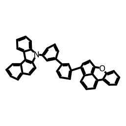 c1cc(-c2cccc(-n3c4ccccc4c4c5ccccc5ccc43)c2)cc(-c2ccc3c4c(cccc24)-c2ccccc2O3)c1